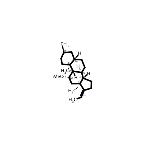 C/C=C1/CC[C@H]2[C@@H]3CC[C@H]4C[C@H](C)CC[C@]4(C)[C@H]3[C@@H](OC)C[C@]12C